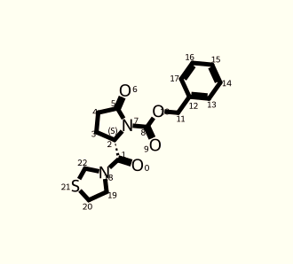 O=C([C@@H]1CCC(=O)N1C(=O)OCc1ccccc1)N1CCSC1